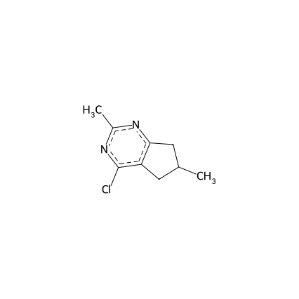 Cc1nc(Cl)c2c(n1)CC(C)C2